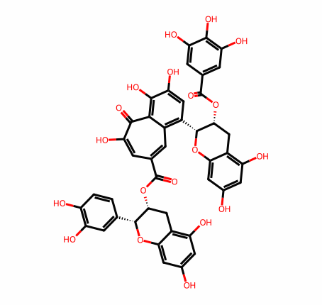 O=C(O[C@@H]1Cc2c(O)cc(O)cc2O[C@@H]1c1ccc(O)c(O)c1)c1cc(O)c(=O)c2c(O)c(O)cc([C@H]3Oc4cc(O)cc(O)c4C[C@H]3OC(=O)c3cc(O)c(O)c(O)c3)c2c1